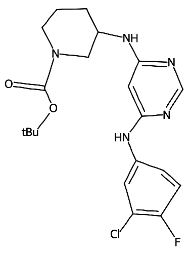 CC(C)(C)OC(=O)N1CCCC(Nc2cc(Nc3ccc(F)c(Cl)c3)ncn2)C1